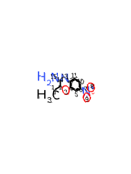 CCC1Oc2cc([N+](=O)[O-])ccc2N=C1N